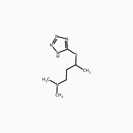 C[C](CCN(C)C)Sc1nnn[nH]1